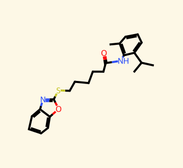 Cc1cccc(C(C)C)c1NC(=O)CCCCCSc1nc2ccccc2o1